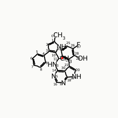 Cc1cc(-c2ccccc2)c([C@H](C)Nc2ncnc3[nH]cc(-c4cccc(F)c4O)c23)[nH]1